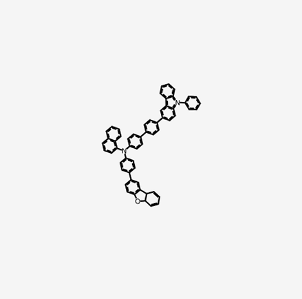 C1=CC2Oc3ccc(-c4ccc(N(c5ccc(-c6ccc(-c7ccc8c(c7)c7ccccc7n8-c7ccccc7)cc6)cc5)c5cccc6ccccc56)cc4)cc3C2C=C1